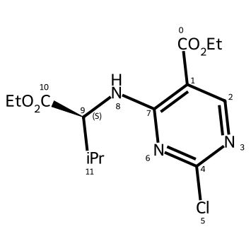 CCOC(=O)c1cnc(Cl)nc1N[C@H](C(=O)OCC)C(C)C